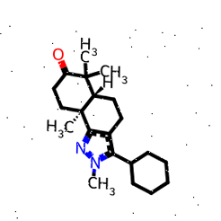 Cn1nc2c(c1C1CCCCC1)CC[C@H]1C(C)(C)C(=O)CC[C@]21C